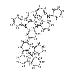 c1ccc(-n2c3ccccc3c3c(N(c4ccc(-c5cccc([Si](c6ccccc6)(c6ccccc6)c6ccccc6)c5)cc4)c4cccc5c4sc4ccccc45)cccc32)cc1